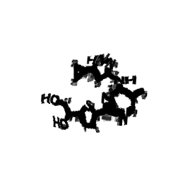 Cc1cnc(-c2ccc(C(O)CO)s2)nc1Nc1cc(C2CC2)[nH]n1